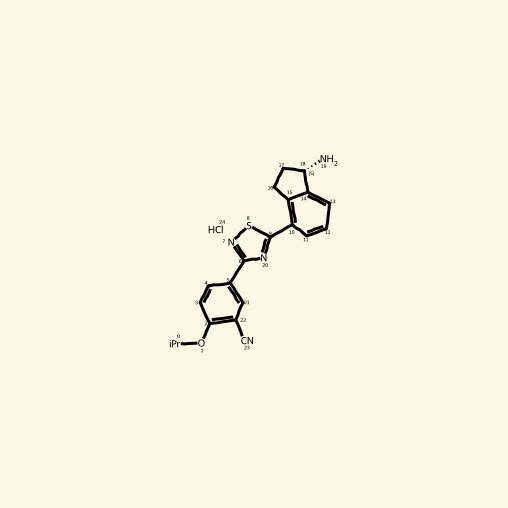 CC(C)Oc1ccc(-c2nsc(-c3cccc4c3CC[C@@H]4N)n2)cc1C#N.Cl